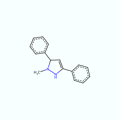 CN1NC(c2ccccc2)=CC1c1ccccc1